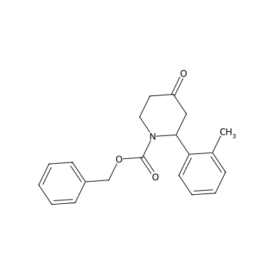 Cc1ccccc1C1CC(=O)CCN1C(=O)OCc1ccccc1